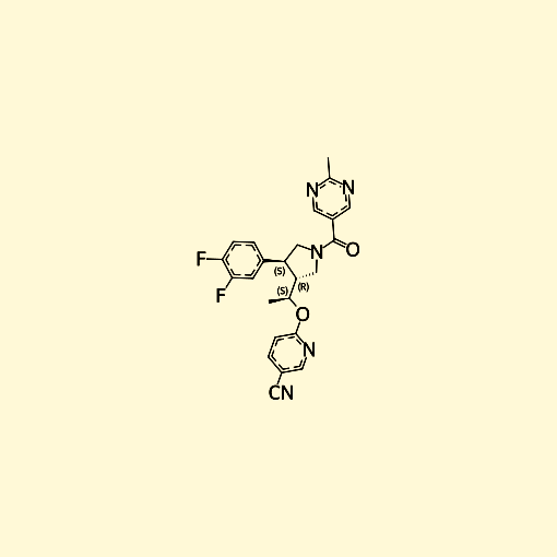 Cc1ncc(C(=O)N2C[C@H]([C@H](C)Oc3ccc(C#N)cn3)[C@@H](c3ccc(F)c(F)c3)C2)cn1